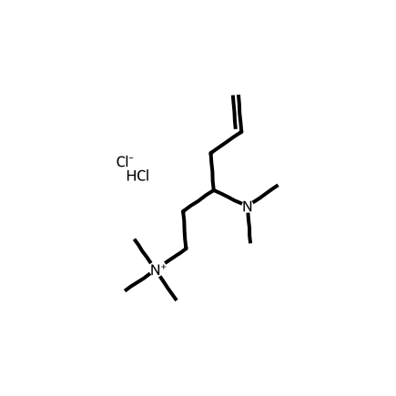 C=CCC(CC[N+](C)(C)C)N(C)C.Cl.[Cl-]